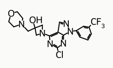 OC1(CN2CCOCC2)CN(c2nc(Cl)nc3c2cnn3-c2cccc(C(F)(F)F)c2)C1